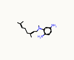 CC(C)=CCC/C(C)=C/CN(C)c1cc(N)ccc1N